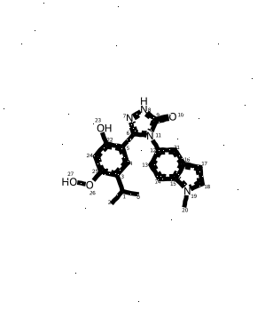 CC(C)c1cc(-c2n[nH]c(=O)n2-c2ccc3c(ccn3C)c2)c(O)cc1OO